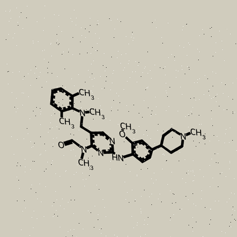 COc1cc(C2CCN(C)CC2)ccc1Nc1ncc(CN(C)c2c(C)cccc2C)c(N(C)C=O)n1